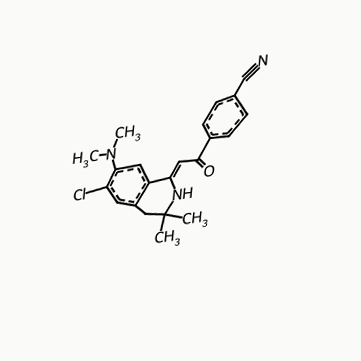 CN(C)c1cc2c(cc1Cl)CC(C)(C)NC2=CC(=O)c1ccc(C#N)cc1